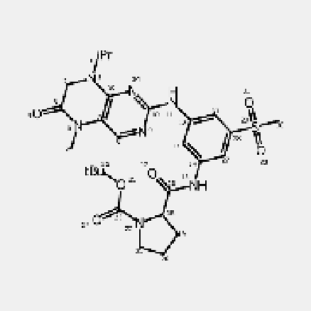 CC(C)N1CC(=O)N(C)c2cnc(Nc3cc(NC(=O)C4CCCN4C(=O)OC(C)(C)C)cc(S(C)(=O)=O)c3)nc21